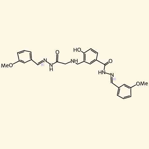 COc1cccc(/C=N/NC(=O)CNCc2cc(C(=O)N/N=C/c3cccc(OC)c3)ccc2O)c1